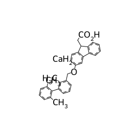 Cc1cccc(C)c1-c1cccc(COc2ccc3c(c2)-c2ccccc2C3CC(=O)O)c1C.[CaH2]